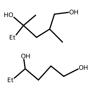 CCC(C)(O)CC(C)CO.CCC(O)CCCO